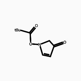 CC(C)(C)C(=O)ON1C=CC(=O)C1